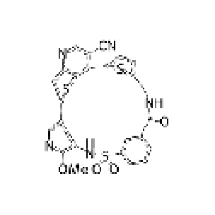 COc1ncc2cc1NS(=O)(=O)c1cccc(c1)C(=O)NCc1ccc(s1)-c1c(C#N)cnc3cc-2sc13